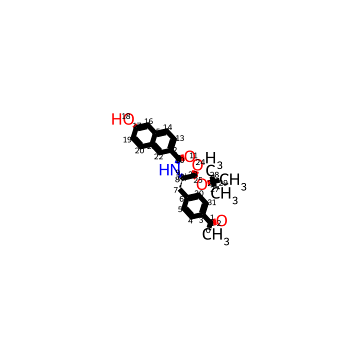 CC(=O)c1ccc(C[C@H](NC(=O)c2ccc3cc(O)ccc3c2)C(=O)OC(C)(C)C)cc1